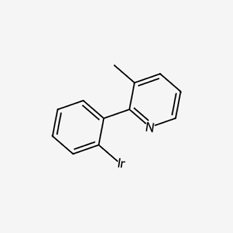 Cc1cccnc1-c1cccc[c]1[Ir]